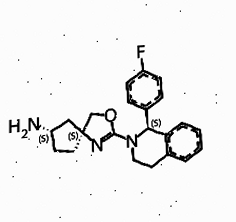 N[C@H]1CC[C@@]2(COC(N3CCc4ccccc4[C@@H]3c3ccc(F)cc3)=N2)C1